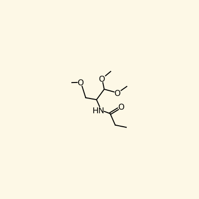 CCC(=O)NC(COC)C(OC)OC